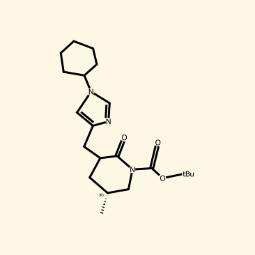 C[C@@H]1CC(Cc2cn(C3CCCCC3)cn2)C(=O)N(C(=O)OC(C)(C)C)C1